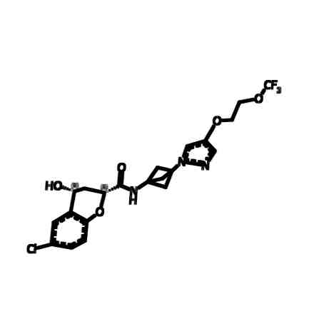 O=C(NC12CC(n3cc(OCCOC(F)(F)F)cn3)(C1)C2)[C@H]1C[C@@H](O)c2cc(Cl)ccc2O1